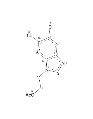 CC(=O)OCCn1cnc2cc(Cl)c(Cl)cc21